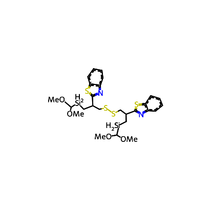 COC(OC)[SiH2]CC(CSSCC(C[SiH2]C(OC)OC)c1nc2ccccc2s1)c1nc2ccccc2s1